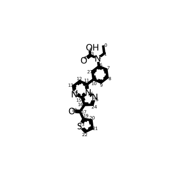 CCN(C(=O)O)c1cccc(-c2ccnc3c(C(=O)c4cccs4)cnn23)c1